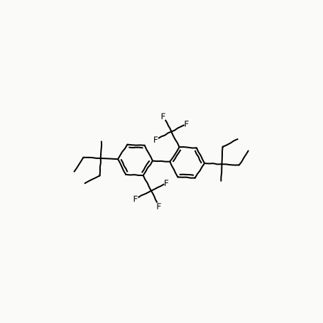 CCC(C)(CC)c1ccc(-c2ccc(C(C)(CC)CC)cc2C(F)(F)F)c(C(F)(F)F)c1